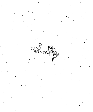 C=C(c1ccc(F)cc1F)c1ccc(=O)n(-c2c(F)cc(OCCCN[C@@H](Cc3ccccc3)C(=C)OC3CCCC3)cc2F)c1N